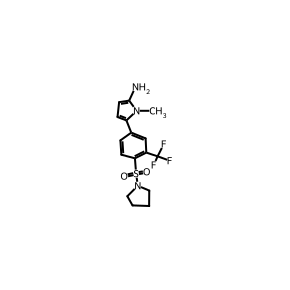 Cn1c(N)ccc1-c1ccc(S(=O)(=O)N2CCCC2)c(C(F)(F)F)c1